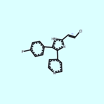 Fc1ccc(-c2[nH]c(/C=C/Cl)nc2-c2ccncc2)cc1